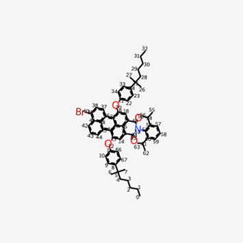 CCCCCC(C)(C)c1ccc(Oc2cc3c4c(cc(Oc5ccc(C(C)(C)CCCCC)cc5)c5c6ccc(Br)c7cccc(c2c45)c76)C(=O)N(c2c(C(C)C)cccc2C(C)C)C3=O)cc1